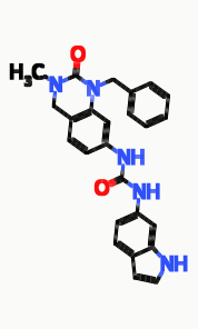 CN1Cc2ccc(NC(=O)Nc3ccc4cc[nH]c4c3)cc2N(Cc2ccccc2)C1=O